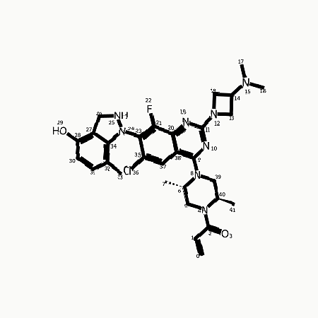 C=CC(=O)N1C[C@H](C)N(c2nc(N3CC(N(C)C)C3)nc3c(F)c(N4NCc5c(O)ccc(C)c54)c(Cl)cc23)C[C@H]1C